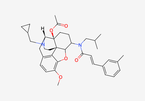 COc1ccc2c3c1OC1C(N(CC(C)C)C(=O)/C=C/c4cccc(C)c4)CC[C@@]4(OC(C)=O)[C@@H](C2)N(CC2CC2)CC[C@]314